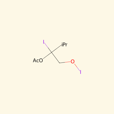 CC(=O)OC(I)(COI)C(C)C